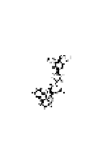 O=C(O)c1ccc(N2CCN(CCCCC3(C(=O)NCC(F)(F)F)c4ccccc4-c4ccccc43)CC2)cc1C(F)(F)F